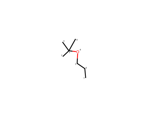 [CH2]C(C)(C)OCCC